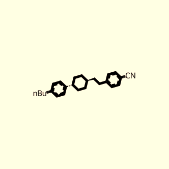 CCCCc1ccc([C@H]2CC[C@H](CCc3ccc(C#N)cc3)CC2)cc1